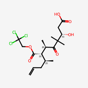 C=CC[C@H](C)[C@H](C(=O)OCC(Cl)(Cl)Cl)[C@@H](C)C(=O)C(C)(C)[C@@H](O)CC(=O)O